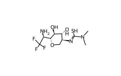 CN(C)/C(S)=N/[C@H]1CO[C@H]([C@H](N)C(F)(F)F)[C@@H](O)[C@@H]1O